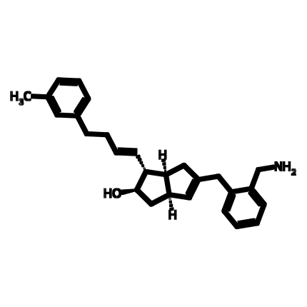 Cc1cccc(CC/C=C/[C@@H]2[C@H]3CC(Cc4ccccc4CN)=C[C@H]3C[C@H]2O)c1